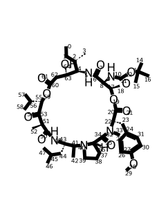 CC[C@H](C)[C@H]1NC(=O)[C@@H](NC(=O)OC(C)(C)C)[C@@H](C)OC(=O)[C@H](Cc2ccc(OC)cc2)N(C)C(=O)[C@@H]2CCCN2C(C)[C@H](CC(C)C)NC(=O)[C@@H](C)C(=O)[C@H](C(C)C)OC(=O)C[C@@H]1O